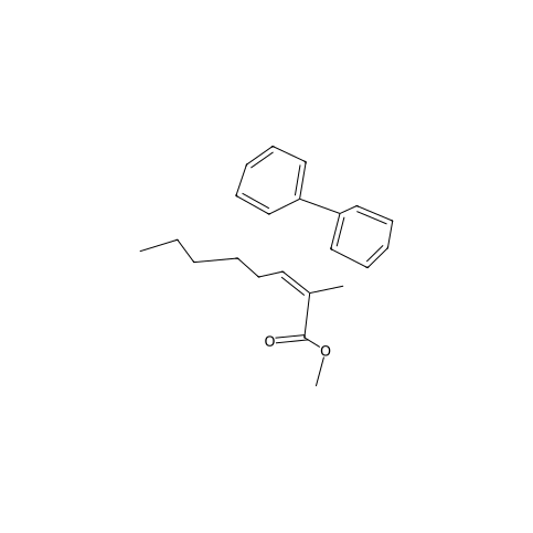 CCCCCC=C(C)C(=O)OC.c1ccc(-c2ccccc2)cc1